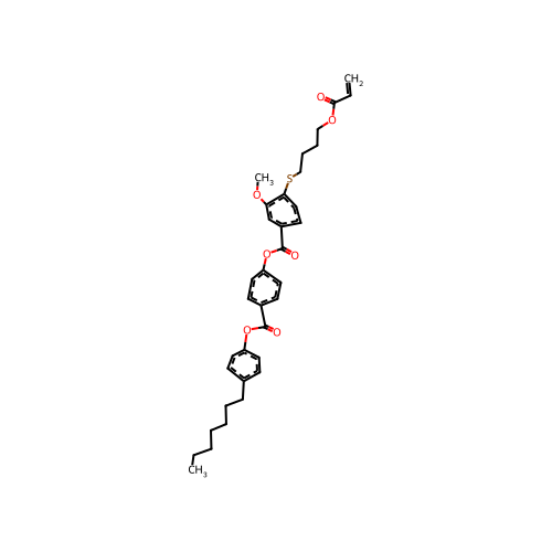 C=CC(=O)OCCCCSc1ccc(C(=O)Oc2ccc(C(=O)Oc3ccc(CCCCCCC)cc3)cc2)cc1OC